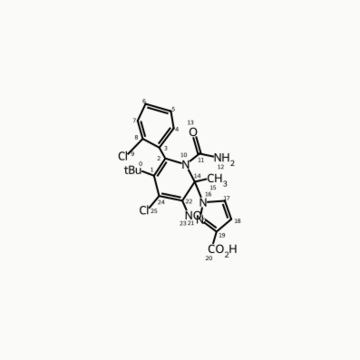 CC(C)(C)C1=C(c2ccccc2Cl)N(C(N)=O)C(C)(n2ccc(C(=O)O)n2)C([N+](=O)[O-])=C1Cl